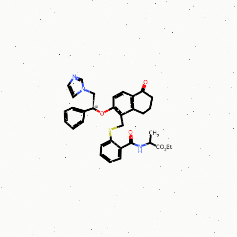 CCOC(=O)C(C)NC(=O)c1ccccc1SCc1c(O[C@H](Cn2ccnc2)c2ccccc2)ccc2c1CCCC2=O